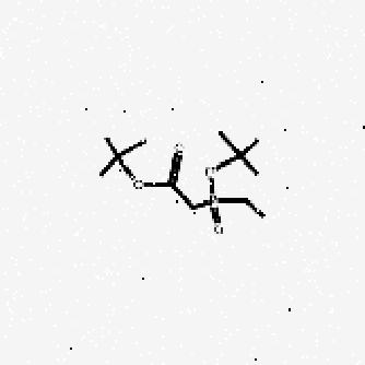 CCP(=O)(CC(=O)OC(C)(C)C)OC(C)(C)C